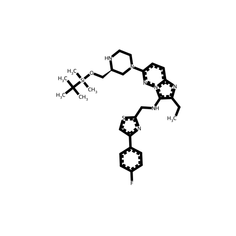 CCc1nc2ccc(N3CCN[C@H](CO[Si](C)(C)C(C)(C)C)C3)nn2c1NCc1nc(-c2ccc(F)cc2)cs1